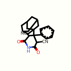 N#CC1C(=O)NC(=O)C(C#N)C1(c1ccccc1)C12CC3CC(CC(C3)C1)C2